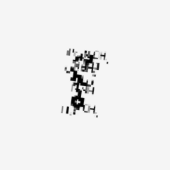 Cc1ccc(-c2nn3cc(C(=O)NCC(C(C)C)n4nc(C)c(Cl)c4C)cc3c(=O)[nH]2)cc1C